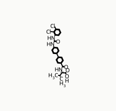 CC(C)[C@H](NC(=O)c1ccc(-c2ccc(NC(=O)Nc3cccc(Cl)c3Cl)cc2)cc1)C(=O)O